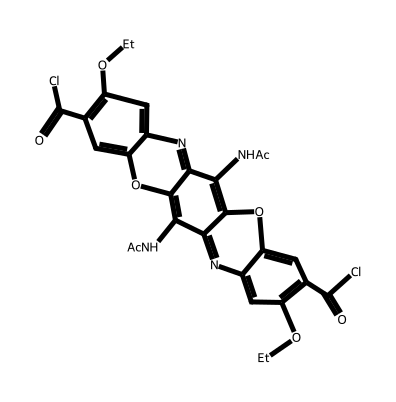 CCOc1cc2c(cc1C(=O)Cl)Oc1c(NC(C)=O)c3c(c(NC(C)=O)c1=N2)Oc1cc(C(=O)Cl)c(OCC)cc1N=3